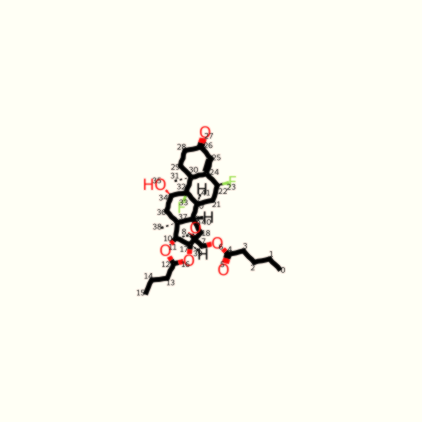 CCCCC(=O)OCC(=O)[C@@]12OC(CCC)O[C@@H]1C[C@H]1[C@@H]3C[C@H](F)C4=CC(=O)CC[C@]4(C)[C@@]3(F)[C@@H](O)C[C@@]12C